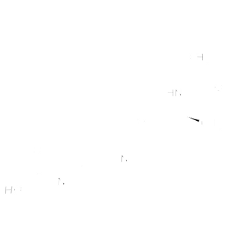 CC(=O)N[C@@H](C)COc1ncc(NC(=O)O)cc1F